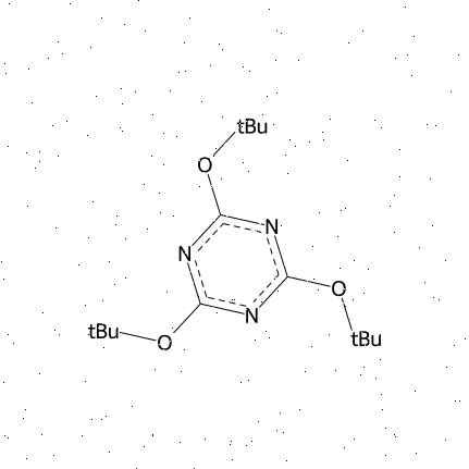 CC(C)(C)Oc1nc(OC(C)(C)C)nc(OC(C)(C)C)n1